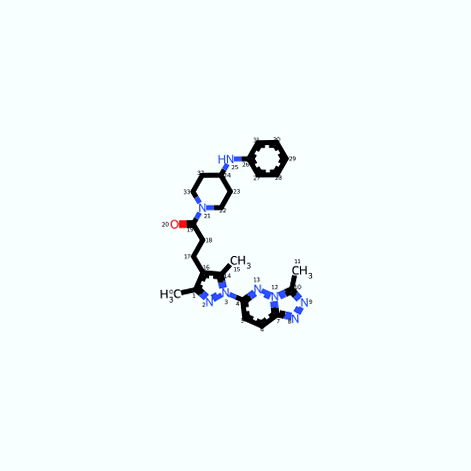 Cc1nn(-c2ccc3nnc(C)n3n2)c(C)c1CCC(=O)N1CCC(Nc2ccccc2)CC1